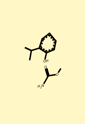 CC(C)c1ccccc1O.COC(N)=O